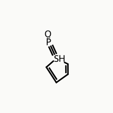 O=P#[SH]1C=CC=C1